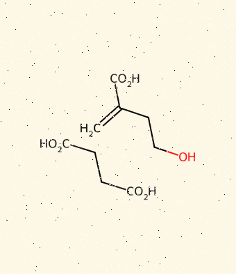 C=C(CCO)C(=O)O.O=C(O)CCC(=O)O